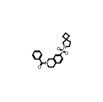 O=C(c1ccccc1)N1CCc2ccc(S(=O)(=O)N3CCC4(CCC4)C3)cc2C1